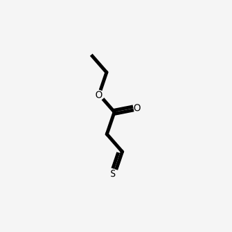 CCOC(=O)CC=S